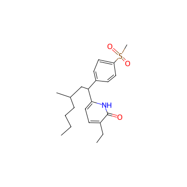 CCCCC(C)CC(c1ccc(S(C)(=O)=O)cc1)c1ccc(CC)c(=O)[nH]1